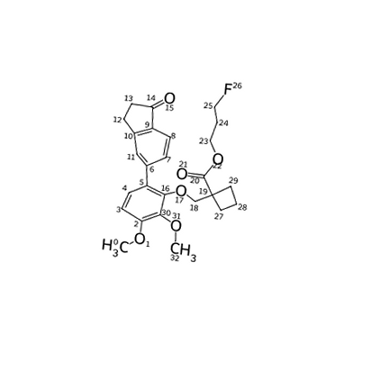 COc1ccc(-c2ccc3c(c2)CCC3=O)c(OCC2(C(=O)OCCCF)CCC2)c1OC